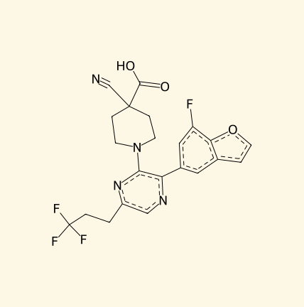 N#CC1(C(=O)O)CCN(c2nc(CCC(F)(F)F)cnc2-c2cc(F)c3occc3c2)CC1